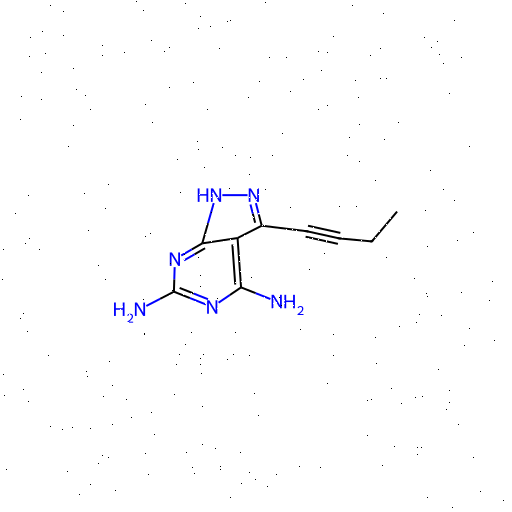 CCC#Cc1n[nH]c2nc(N)nc(N)c12